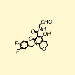 O=CCNC(=O)c1c(O)c2c(n(Cc3ccc(F)c(F)c3)c1=O)COCC2